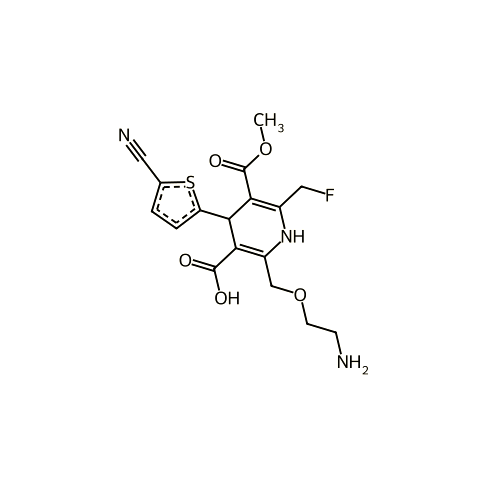 COC(=O)C1=C(CF)NC(COCCN)=C(C(=O)O)C1c1ccc(C#N)s1